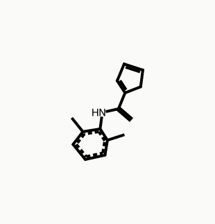 C=C(Nc1c(C)cccc1C)C1=CC=CC1